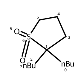 CCCCC1(CCCC)CCCS1(=O)=O